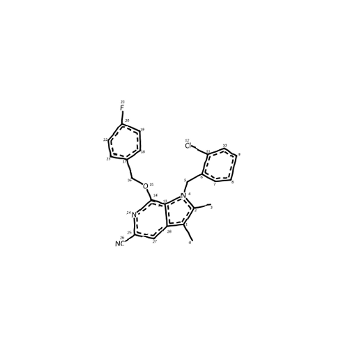 Cc1c(C)n(Cc2ccccc2Cl)c2c(OCc3ccc(F)cc3)nc(C#N)cc12